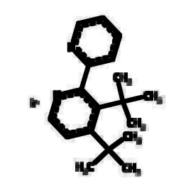 CC(C)(C)c1ccnc(-c2ccccn2)c1C(C)(C)C.[Ir]